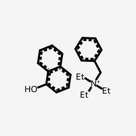 CC[N+](CC)(CC)Cc1ccccc1.Oc1cccc2ccccc12